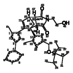 Cc1sc(-c2ccccc2)cc1C1=C[C@H]2C[C@]1(c1cc(CO[Si](C(C)C)(C(C)C)C(C)C)sc1C)[C@H]1C(=O)N(CCO)C(=O)[C@@H]21